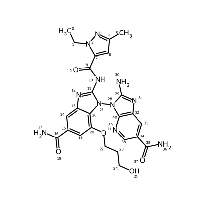 CCn1nc(C)cc1C(=O)Nc1nc2cc(C(N)=O)cc(OCCCO)c2n1-n1c(N)nc2cc(C(N)=O)cnc21